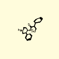 O=C(NC1CCNCC1c1ccccc1)C(CO)c1ccccc1